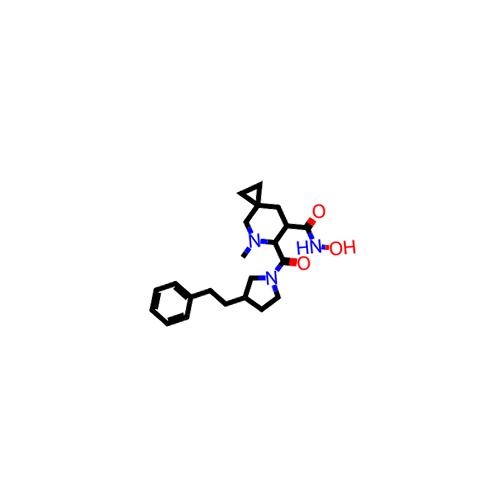 CN1CC2(CC2)CC(C(=O)NO)C1C(=O)N1CCC(CCc2ccccc2)C1